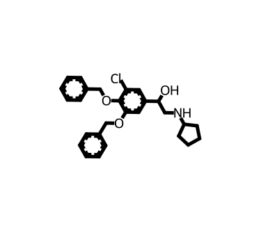 OC(CNC1CCCC1)c1cc(Cl)c(OCc2ccccc2)c(OCc2ccccc2)c1